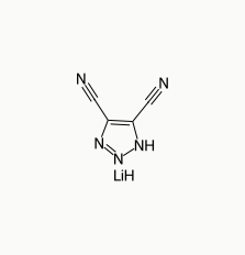 N#Cc1nn[nH]c1C#N.[LiH]